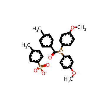 COc1ccc([S+](C(=O)c2ccc(C)cc2)c2ccc(OC)cc2)cc1.Cc1ccc(S(=O)(=O)[O-])cc1